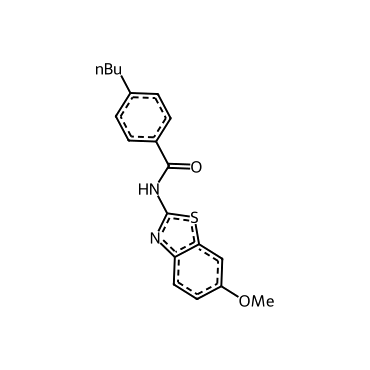 CCCCc1ccc(C(=O)Nc2nc3ccc(OC)cc3s2)cc1